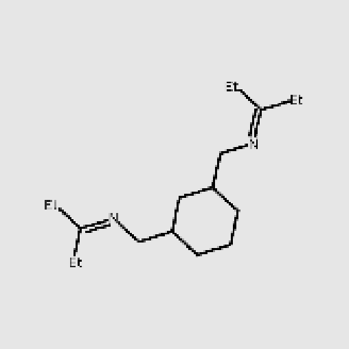 CCC(CC)=NCC1CCCC(CN=C(CC)CC)C1